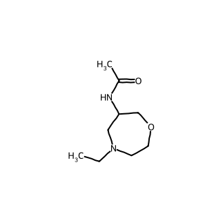 CCN1CCOCC(NC(C)=O)C1